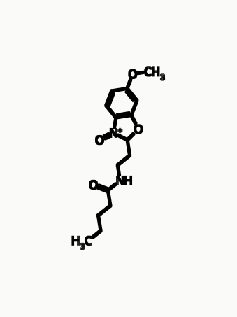 CCCCC(=O)NCCC1Oc2cc(OC)ccc2[N+]1=O